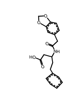 O=C(O)CC(CCc1ccccc1)NC(=O)Cc1ccc2c(c1)OCO2